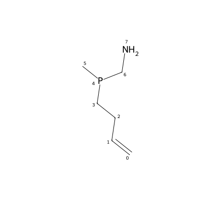 C=CCCP(C)CN